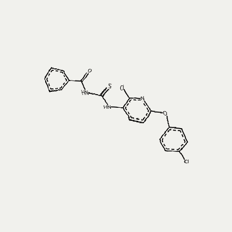 O=C(NC(=S)Nc1ccc(Oc2ccc(Cl)cc2)nc1Cl)c1ccccc1